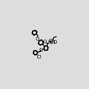 CCC(=O)ONC(=O)c1cccc(OCc2ccccc2Cl)c1-c1ccc(OCc2ccccc2)cc1